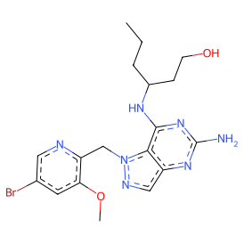 CCCC(CCO)Nc1nc(N)nc2cnn(Cc3ncc(Br)cc3OC)c12